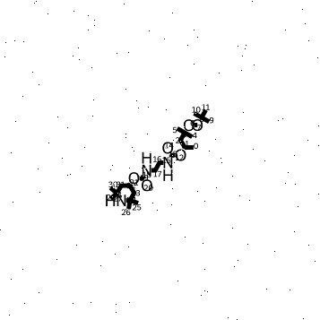 CC(CC(C)(C)OOC(C)(C)C)OC(=O)NCCNC(=O)OC1CC(C)(C)NC(C)(C)C1